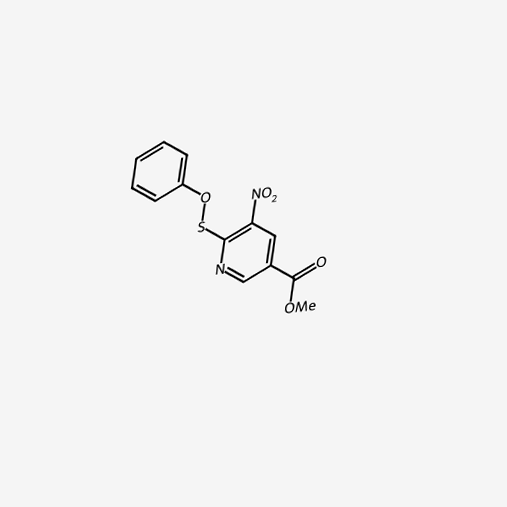 COC(=O)c1cnc(SOc2ccccc2)c([N+](=O)[O-])c1